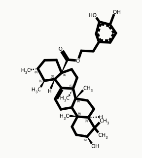 C[C@H]1[C@H](C)CC[C@]2(C(=O)OCCc3ccc(O)c(O)c3)CC[C@]3(C)C(=CCC4[C@@]5(C)CC[C@H](O)C(C)(C)[C@@H]5CC[C@]43C)[C@H]12